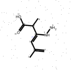 C=C(C)/C=C(\NN)C(C)C(=O)O